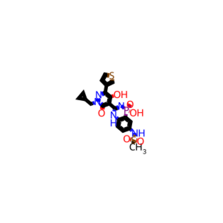 CS(=O)(=O)Nc1ccc2c(c1)P(=O)(O)N=C(c1c(O)c(-c3ccsc3)nn(CC3CC3)c1=O)N2